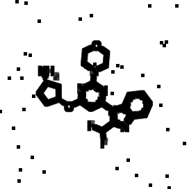 N[C@H]1CC[C@H](Oc2cc(-n3c(C(F)F)nc4ccccc43)nc(N3CCOCC3)n2)C1